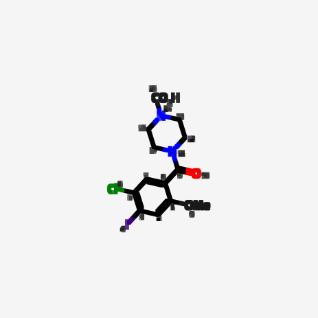 COc1cc(I)c(Cl)cc1C(=O)N1CCN(C(=O)O)CC1